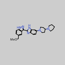 COCc1ccc2[nH]nc(-c3nc4ccc(N5CCC(N6CCCCC6)CC5)cc4[nH]3)c2c1